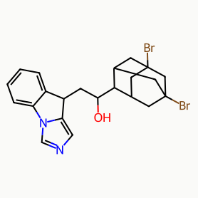 OC(CC1c2ccccc2-n2cncc21)C1C2CC3(Br)CC1CC(Br)(C2)C3